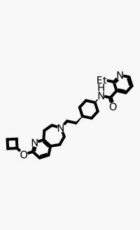 CCc1ncccc1C(=O)N[C@H]1CC[C@H](CCN2CCc3ccc(OC4CCC4)nc3CC2)CC1